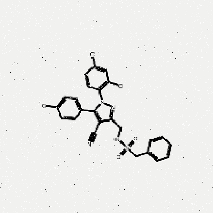 N#Cc1c(CNS(=O)(=O)Cc2ccccc2)nn(-c2ccc(Cl)cc2Cl)c1-c1ccc(Cl)cc1